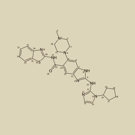 CN1CCN(c2cc3[nH]c(Nc4nccn4C4CCCC4)nc3cc2C(=O)Nc2nc3ccccc3s2)CC1